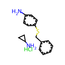 Cl.NC1CC1.Nc1ccc(SCc2ccccc2)cc1